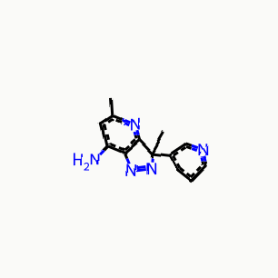 Cc1cc(N)c2c(n1)C(C)(c1cccnc1)N=N2